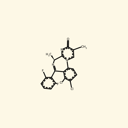 Cc1cn2c(nc1=O)[C@H](C)N=C(c1c(F)cccc1F)c1c-2ccc(Cl)c1Cl